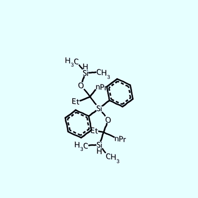 CCCC(CC)(O[Si](c1ccccc1)(c1ccccc1)C(CC)(CCC)O[SiH](C)C)[SiH](C)C